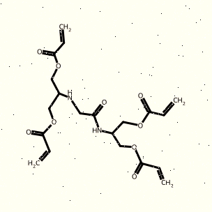 C=CC(=O)OCC(COC(=O)C=C)NCC(=O)NC(COC(=O)C=C)COC(=O)C=C